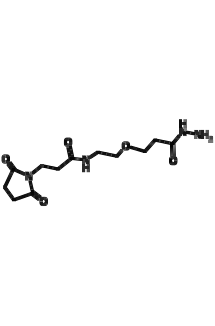 NNC(=O)CCOCCNC(=O)CCN1C(=O)CCC1=O